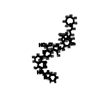 Cc1c(Nc2nc3ccccc3s2)nnc2c1CCCN2c1ccc(-c2cnn(CC34CC5(C)CC6(CCCN7CCCCCC7)CC(C)(C3)C6(C5)C4)c2C)c(C(=O)O)n1